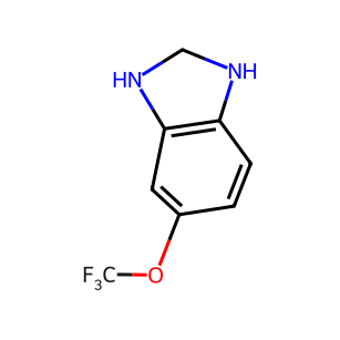 FC(F)(F)Oc1ccc2c(c1)NCN2